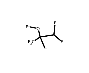 CCOC(F)(C(F)F)C(F)(F)F